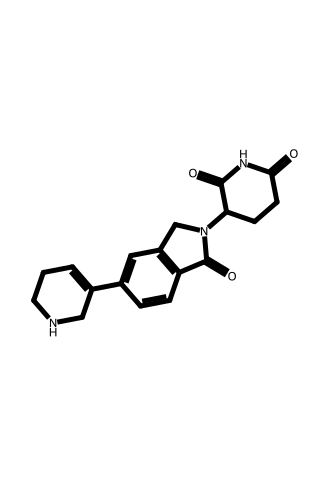 O=C1CCC(N2Cc3cc(C4=CCCNC4)ccc3C2=O)C(=O)N1